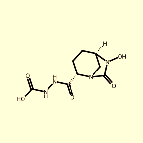 O=C(O)NNC(=O)[C@@H]1CC[C@@H]2CN1C(=O)N2O